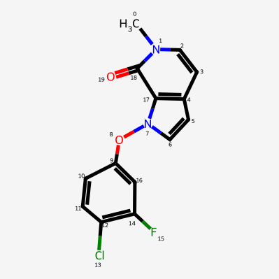 Cn1ccc2ccn(Oc3ccc(Cl)c(F)c3)c2c1=O